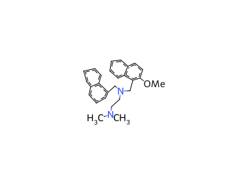 COc1ccc2ccccc2c1CN(CCN(C)C)Cc1cccc2ccccc12